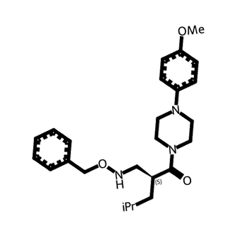 COc1ccc(N2CCN(C(=O)[C@H](CNOCc3ccccc3)CC(C)C)CC2)cc1